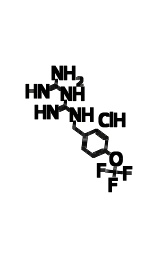 Cl.N=C(N)NC(=N)NCc1ccc(OC(F)(F)F)cc1